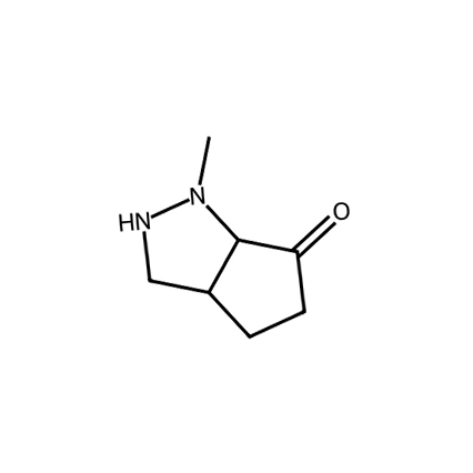 CN1NCC2CCC(=O)C21